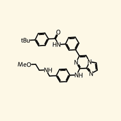 COCCNCc1ccc(Nc2nc(-c3cccc(NC(=O)c4ccc(C(C)(C)C)cc4)c3)cn3ccnc23)cc1